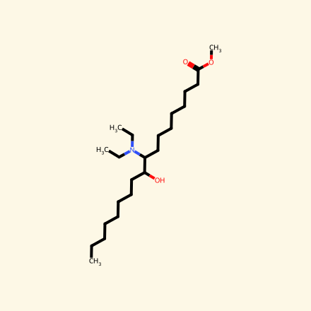 CCCCCCCCC(O)C(CCCCCCCC(=O)OC)N(CC)CC